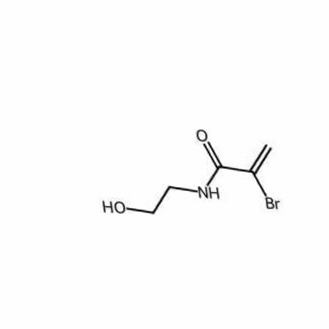 C=C(Br)C(=O)NCCO